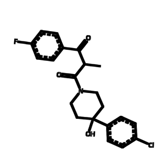 CC(C(=O)c1ccc(F)cc1)C(=O)N1CCC(O)(c2ccc(Cl)cc2)CC1